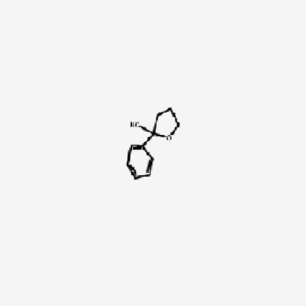 N#CC1(c2ccccc2)CCCO1